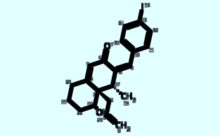 C=CC[C@@]12C(=CC(=O)C(=Cc3ccc(I)cc3)[C@@H]1C)CCC[C@@H]2O